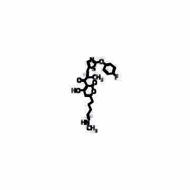 CN/C=C/CCCc1cc(O)c(C(=O)/C(C)=C/c2cnc(Oc3ccc(F)cc3)s2)c(=O)o1